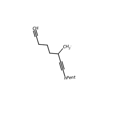 C#CCCCC([CH2])C#CCCCCC